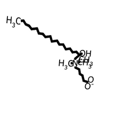 CCCCCCCCCCCCCCCCCCC(C)(O)C[N+](C)(C)CCCCCC(=O)[O-]